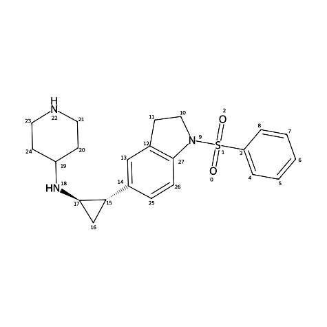 O=S(=O)(c1ccccc1)N1CCc2cc([C@@H]3C[C@H]3NC3CCNCC3)ccc21